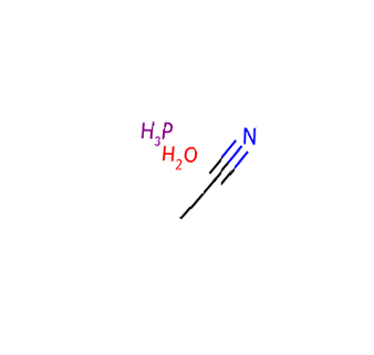 CC#N.O.P